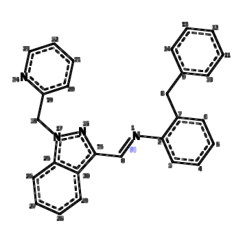 C(=N\c1ccccc1Cc1ccccc1)/c1nn(Cc2ccccn2)c2ccccc12